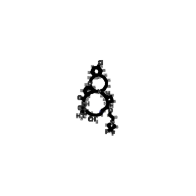 C[C@@H]1[C@@H](C)C/C=C/C(OCCN2CC(F)(F)C2)[C@@H]2CC[C@H]2CN2CCCCc3cc(Cl)ccc3COc3ccc(cc32)C(=O)NS1(=O)=O